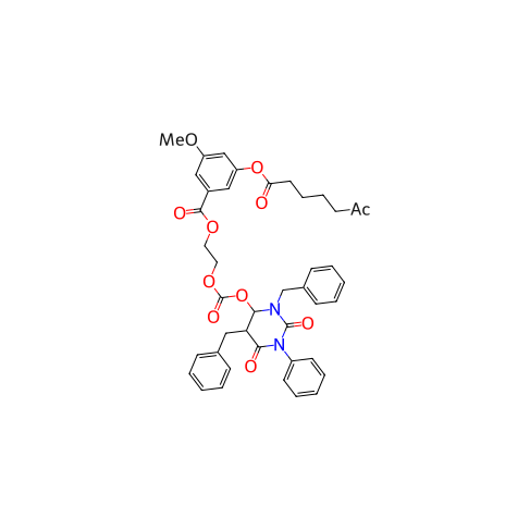 COc1cc(OC(=O)CCCCC(C)=O)cc(C(=O)OCCOC(=O)OC2C(Cc3ccccc3)C(=O)N(c3ccccc3)C(=O)N2Cc2ccccc2)c1